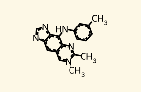 Cc1cccc(Nc2c3nc(C)n(C)cc3cc3ncnc23)c1